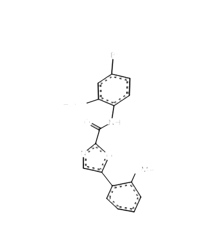 COc1ccccc1-c1cnc(C(=O)Nc2ccc(Br)cc2C(=O)O)o1